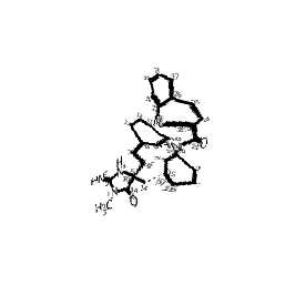 CN1C(=N)N[C@](CCC2CCCCC2)(C[C@H]2CCCC(NC(=O)c3ccc4ccccc4n3)C2)C1=O